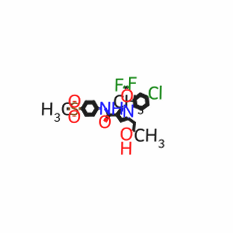 Cc1c(C(=O)Nc2ccc(S(C)(=O)=O)cc2)cc(C[C@H](C)O)n1-c1ccc(Cl)cc1OC(F)F